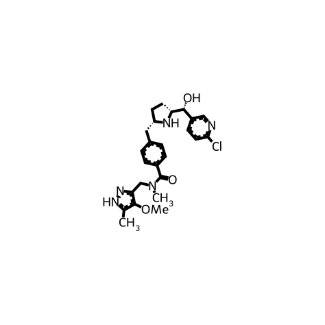 COc1c(CN(C)C(=O)c2ccc(C[C@@H]3CC[C@H]([C@H](O)c4ccc(Cl)nc4)N3)cc2)n[nH]c1C